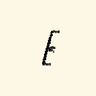 CCCCCSCSCCCCCCCCC(CCCCCCCCSCSCCCCC)N(C)CCCC